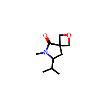 CC(C)C1CC2(COC2)C(=O)N1C